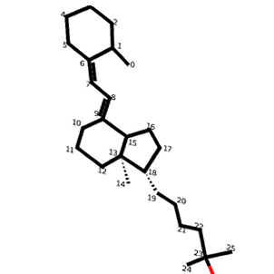 CC1CCCC/C1=C/C=C1\CCC[C@@]2(C)C1CC[C@@H]2CCCCC(C)(C)O